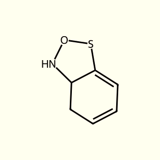 C1=CCC2NOSC2=C1